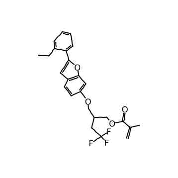 C=C(C)C(=O)OCC(COc1ccc2cc(-c3ccccc3CC)oc2c1)CC(F)(F)F